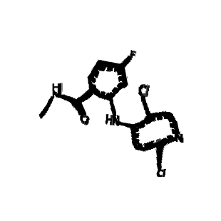 CNC(=O)c1ccc(F)cc1Nc1cc(Cl)ncc1Cl